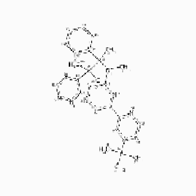 CN(c1cncc(-c2cc(C(C)(C)C)ncn2)n1)C(C)(c1ncccn1)C(C)(C)c1ccnnc1